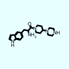 NC(Cc1ccc2[nH]ccc2c1)C(=O)N1CCC(N2CCNCC2)CC1